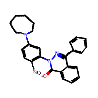 O=c1c2ccccc2c(-c2ccccc2)nn1-c1cc(N2CCCCCC2)ccc1[N+](=O)[O-]